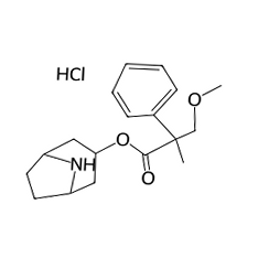 COCC(C)(C(=O)OC1CC2CCC(C1)N2)c1ccccc1.Cl